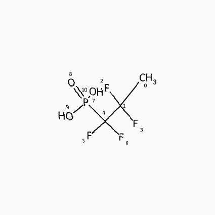 CC(F)(F)C(F)(F)P(=O)(O)O